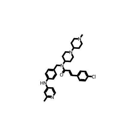 Cc1cc(Nc2ccc(CN(C(=O)C=Cc3ccc(Cl)cc3)C3CCN(C4CCN(C)CC4)CC3)cc2)ccn1